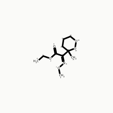 CCOC(=O)/C(=N\OC)C1(C)CCCOO1